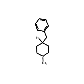 CCC1(Cc2ccccc2)CCN(C)CC1